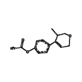 CCCC(=O)Oc1ccc(C2=CCOCC2C)cc1